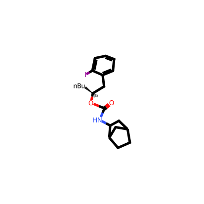 CCCC[C@@H](Cc1ccccc1I)OC(=O)NC1CC2CCC1C2